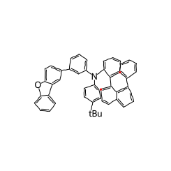 CC(C)(C)c1ccc(N(c2cccc(-c3ccc4oc5ccccc5c4c3)c2)c2ccccc2-c2cccc3cccc(-c4ccccc4)c23)cc1